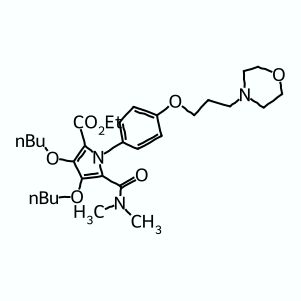 CCCCOc1c(OCCCC)c(C(=O)N(C)C)n(-c2ccc(OCCCN3CCOCC3)cc2)c1C(=O)OCC